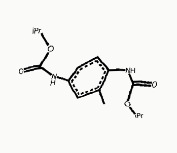 [CH2]C(C)OC(=O)Nc1ccc(NC(=O)OC([CH2])C)c(C)c1